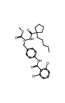 COC(=O)[C@H](Cc1ccc(NC(=O)c2c(Cl)cccc2Cl)cc1)NC(=O)C1(CCCSC)CCCC1